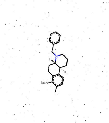 COc1c(C)ccc2c1CC[C@H]1[C@H]2CCCN1Cc1ccccc1